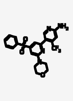 Nc1cc(C(F)(F)F)c(-c2cc(S(=O)(=O)c3ccccc3)cc(N3CCOCC3)n2)cn1